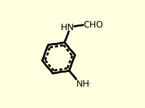 [NH]c1cccc(NC=O)c1